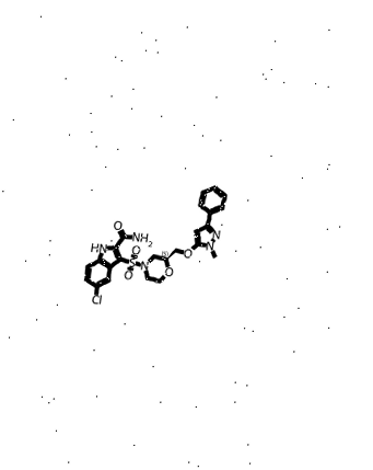 Cn1nc(-c2ccccc2)cc1OC[C@@H]1CN(S(=O)(=O)c2c(C(N)=O)[nH]c3ccc(Cl)cc23)CCO1